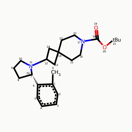 Cc1ccccc1[C@@H]1CCCN1C1CC2(CCN(C(=O)OC(C)(C)C)CC2)C1